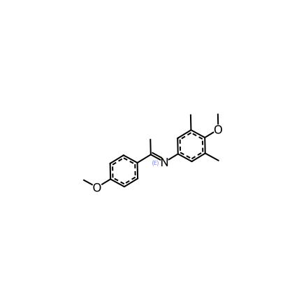 COc1ccc(/C(C)=N/c2cc(C)c(OC)c(C)c2)cc1